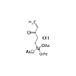 C=CC(=O)C(O)C[Si](OC(C)=O)(OC(C)=O)OC(C)=O